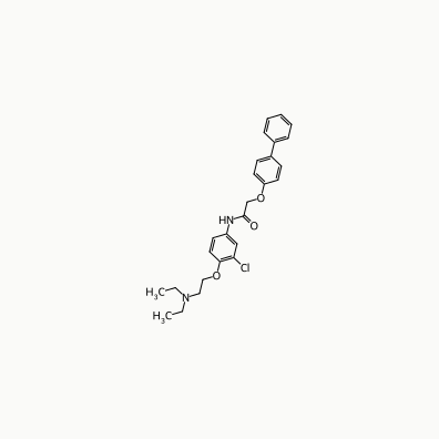 CCN(CC)CCOc1ccc(NC(=O)COc2ccc(-c3ccccc3)cc2)cc1Cl